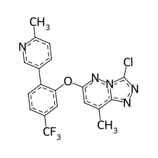 Cc1ccc(-c2ccc(C(F)(F)F)cc2Oc2cc(C)c3nnc(Cl)n3n2)cn1